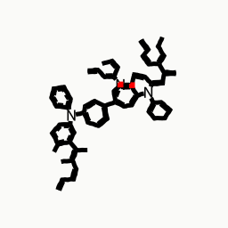 C=C/C=C\C(=C/CC)C(=C)/C=C(\C=C/CN(C)C(/C=C\C)=C/C=C)N(C1=CC=C(C2=C=CC=C(N(c3ccccc3)c3ccc(C)c(/C(C)=C(C)/C=C\C=C)c3)C=C2)CC=C1)C1=CCCC=C1